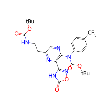 CC(C)(C)OC(=O)NCCc1cnc(N(C(=O)OC(C)(C)C)c2ccc(C(F)(F)F)cc2)c(-c2noc(=O)[nH]2)n1